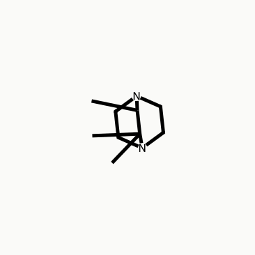 CC1N2CCN(CC2)C1(C)C